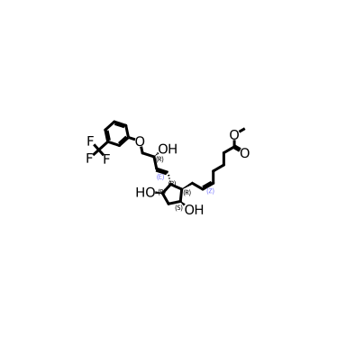 COC(=O)CCC/C=C\C[C@@H]1[C@@H](/C=C/[C@@H](O)COc2cccc(C(F)(F)F)c2)[C@H](O)C[C@@H]1O